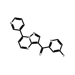 O=C(c1cc(F)ccn1)c1cnn2c(-c3cccnc3)ccnc12